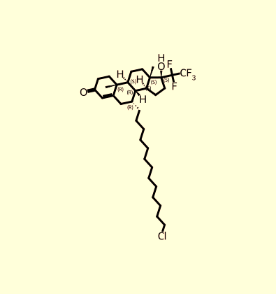 C[C@]12CCC(=O)C=C1C[C@@H](CCCCCCCCCCCCCCl)[C@@H]1[C@@H]2CC[C@@]2(C)[C@H]1CC[C@@]2(O)C(F)(F)C(F)(F)F